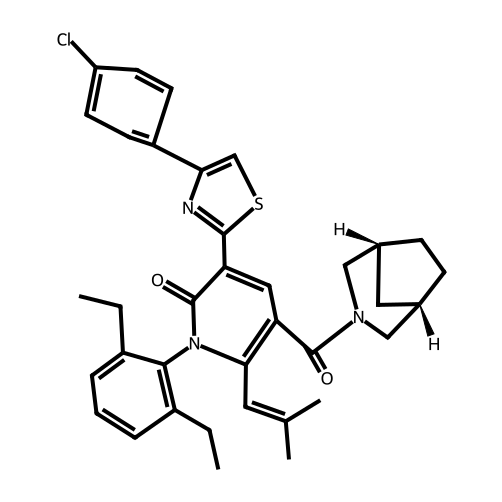 CCc1cccc(CC)c1-n1c(C=C(C)C)c(C(=O)N2C[C@@H]3CC[C@@H](C3)C2)cc(-c2nc(-c3ccc(Cl)cc3)cs2)c1=O